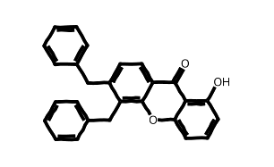 O=c1c2ccc(Cc3ccccc3)c(Cc3ccccc3)c2oc2cccc(O)c12